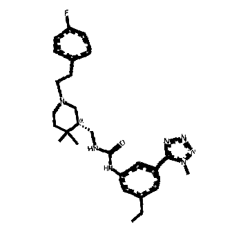 CCc1cc(NC(=O)NC[C@H]2CN(CCc3ccc(F)cc3)CCC2(C)C)cc(-c2nnnn2C)c1